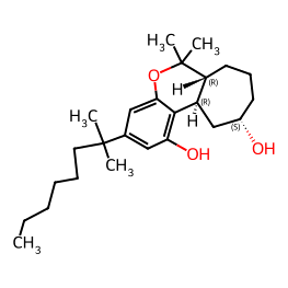 CCCCCCC(C)(C)c1cc(O)c2c(c1)OC(C)(C)[C@@H]1CCC[C@H](O)C[C@@H]21